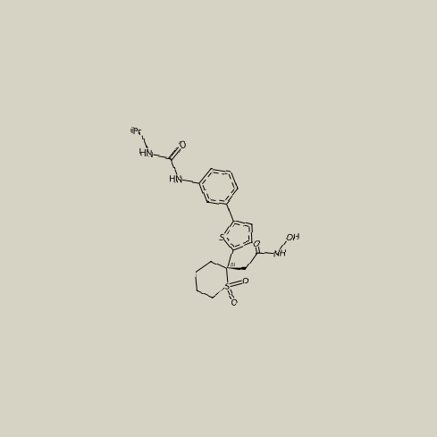 CC(C)NC(=O)Nc1cccc(-c2ccc([C@@]3(CC(=O)NO)CCCCS3(=O)=O)s2)c1